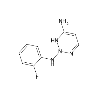 NC1=CC=NN(Nc2ccccc2F)N1